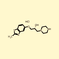 Cc1nc2cc(OC[C@H](O)CN3CCNCC3)ccc2s1.Cl